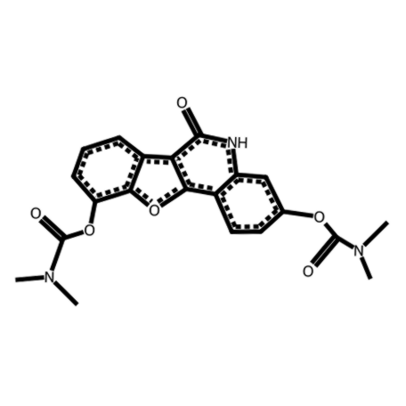 CN(C)C(=O)Oc1ccc2c(c1)[nH]c(=O)c1c3cccc(OC(=O)N(C)C)c3oc21